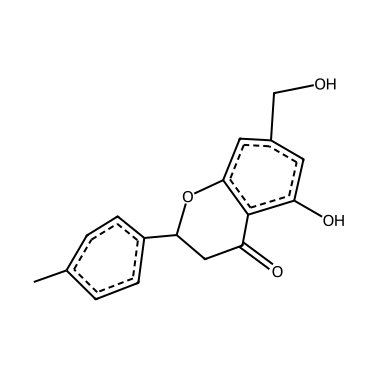 Cc1ccc(C2CC(=O)c3c(O)cc(CO)cc3O2)cc1